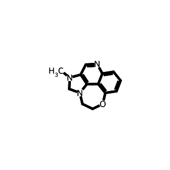 CN1CN2CCOc3cccc4ncc1c2c34